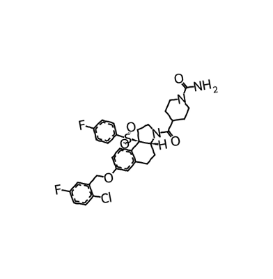 NC(=O)N1CCC(C(=O)N2CC[C@@]3(S(=O)(=O)c4ccc(F)cc4)c4ccc(OCc5cc(F)ccc5Cl)cc4CC[C@@H]23)CC1